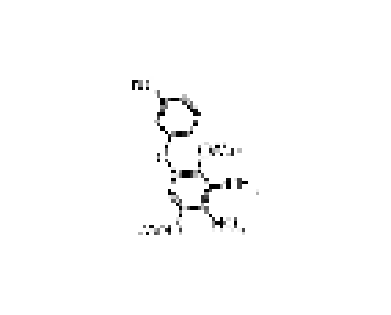 COc1cc(Oc2cccc(C#N)c2)c(OC)c(C)c1[N+](=O)[O-]